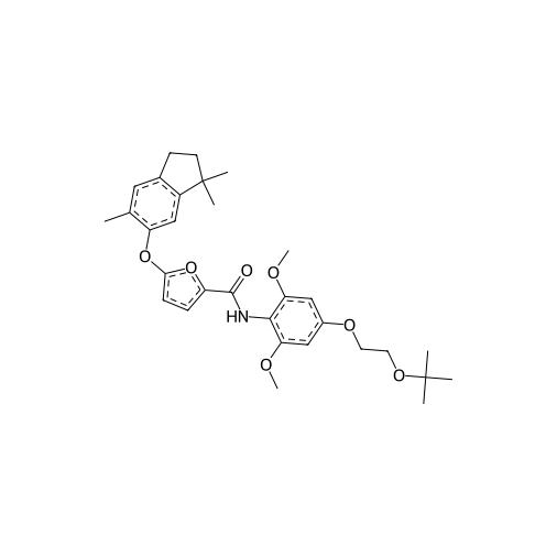 COc1cc(OCCOC(C)(C)C)cc(OC)c1NC(=O)c1ccc(Oc2cc3c(cc2C)CCC3(C)C)o1